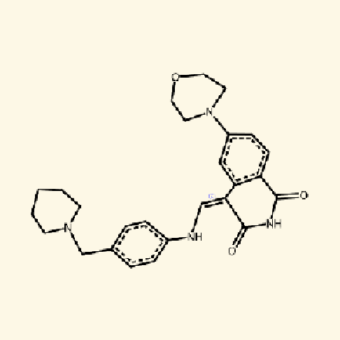 O=C1NC(=O)c2ccc(N3CCOCC3)cc2/C1=C/Nc1ccc(CN2CCCCC2)cc1